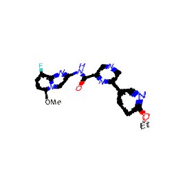 CCOc1ccc(-c2cncc(C(=O)Nc3cn4c(OC)ccc(F)c4n3)n2)cn1